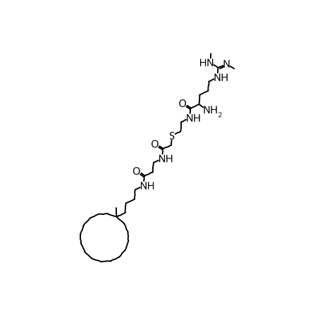 C/N=C(/NC)NCCCC(N)C(=O)NCCSCC(=O)NCCC(=O)NCCCCC1(C)CCCCCCCCCCCCCCC1